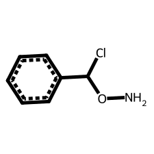 NOC(Cl)c1ccccc1